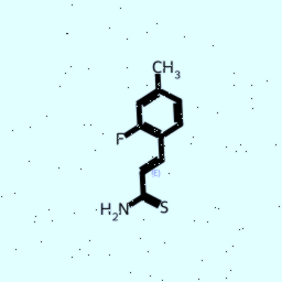 Cc1ccc(/C=C/C(N)=S)c(F)c1